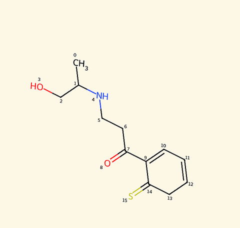 CC(CO)NCCC(=O)C1=CC=CCC1=S